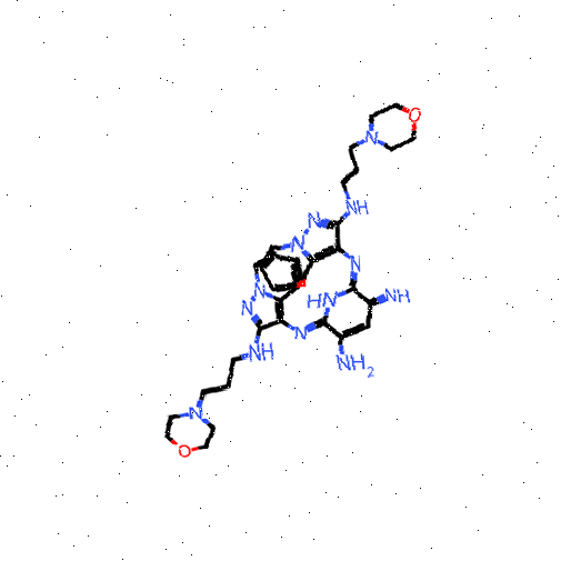 N=C1C=C(N)/C(=N/c2c(NCCCN3CCOCC3)nn3ccccc23)N/C1=N\c1c(NCCCN2CCOCC2)nn2ccccc12